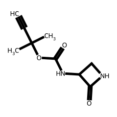 C#CC(C)(C)OC(=O)NC1CNC1=O